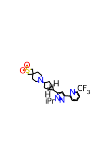 CC(C)n1nc(-c2cccc(C(F)(F)F)n2)cc1C1[C@H]2CC(N3CCC4(CC3)CS(=O)(=O)C4)C[C@@H]12